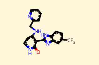 O=c1[nH]ccc(NCc2ccccn2)c1-c1nc2cc(C(F)(F)F)ccc2[nH]1